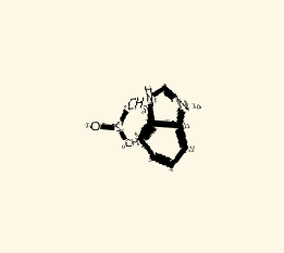 C[S+](C)[O-].c1ccc2[nH]cnc2c1